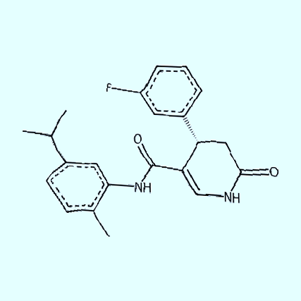 Cc1ccc(C(C)C)cc1NC(=O)C1=CNC(=O)C[C@H]1c1cccc(F)c1